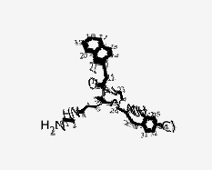 NCCNCCC[C@H]1CN(C(=O)Cc2ccc3ccccc3c2)CCN1C[C@H](N)Cc1ccc(Cl)cc1Cl